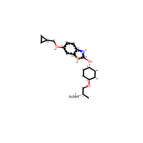 CC(=O)N[C@@H](C)CO[C@H]1CC[C@H](Oc2nc3ccc(OCC4CC4)cc3s2)CC1